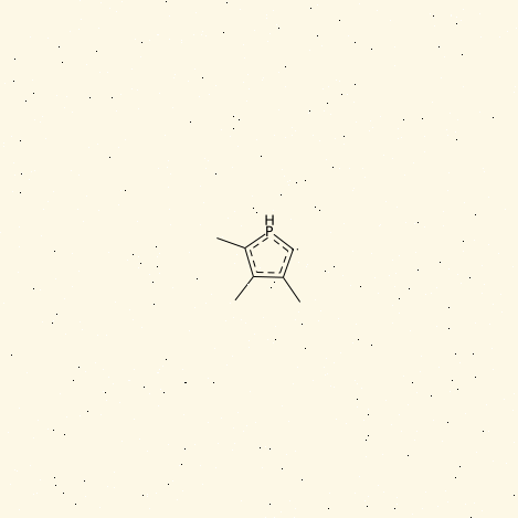 Cc1[c][pH]c(C)c1C